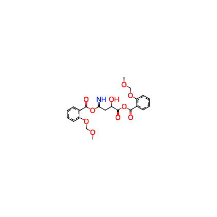 COCOc1ccccc1C(=O)OC(=N)CC(O)C(=O)OC(=O)c1ccccc1OCOC